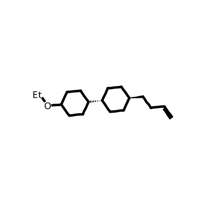 C=CCC[C@H]1CC[C@H](C2CCC(OCC)CC2)CC1